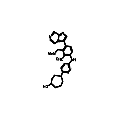 CNCc1c(-c2cnc3cnccn23)ccc(Nc2ccc(C3CCCC(O)CC3)cn2)c1C=O